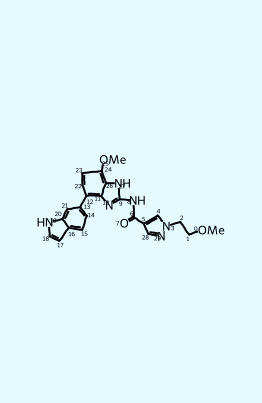 COCCn1cc(C(=O)Nc2nc3c(-c4ccc5cc[nH]c5c4)ccc(OC)c3[nH]2)cn1